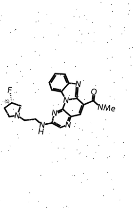 CNC(=O)c1cc2ncc(NCCN3CC[C@H](F)C3)nc2n2c1nc1ccccc12